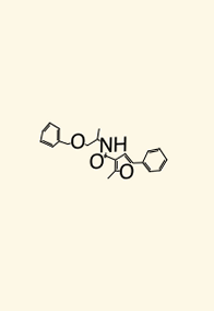 Cc1oc(-c2ccccc2)cc1C(=O)NC(C)COCc1ccccc1